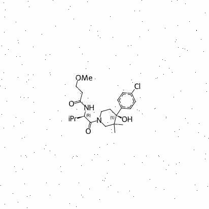 COCCC(=O)N[C@@H](C(=O)N1CC[C@](O)(c2ccc(Cl)cc2)C(C)(C)C1)C(C)C